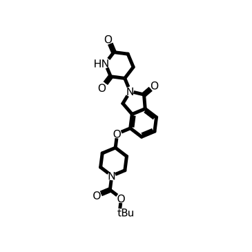 CC(C)(C)OC(=O)N1CCC(Oc2cccc3c2CN(C2CCC(=O)NC2=O)C3=O)CC1